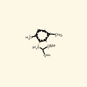 COC(C)OC.Cc1ccc(C=O)cc1